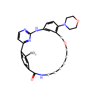 O=C1NCCCCCCOCc2cc(ccc2N2CCOCC2)Nc2nccc(n2)-c2ccc1cc2[N+](=O)[O-]